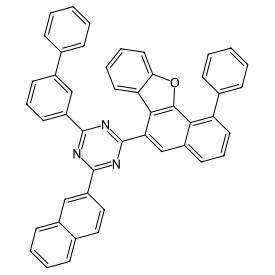 c1ccc(-c2cccc(-c3nc(-c4ccc5ccccc5c4)nc(-c4cc5cccc(-c6ccccc6)c5c5oc6ccccc6c45)n3)c2)cc1